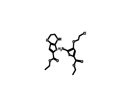 CCOC(=O)c1cc(OCCCl)c(N)s1.CCOC(=O)c1cc2c(s1)NCCO2